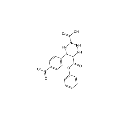 O=C(Oc1ccccc1)C1NNN(C(=O)O)NC1c1ccc([N+](=O)[O-])cc1